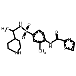 Cc1cc(S(=O)(=O)NC(C)C2CCNCC2)ccc1NC(=O)c1nccs1